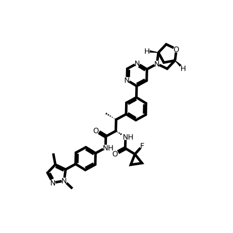 Cc1cnn(C)c1-c1ccc(NC(=O)[C@@H](NC(=O)C2(F)CC2)[C@H](C)c2cccc(-c3cc(N4C[C@@H]5C[C@H]4CO5)ncn3)c2)cc1